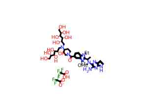 CCn1c(C(C)N(C=O)c2nc3cc[nH]c3nc2N)[n+](CC)c2ccc(C(=O)N3CCC(N(C[C@H](O)[C@@H](O)[C@H](O)[C@H](O)CO)C[C@H](O)[C@@H](O)[C@H](O)[C@H](O)CO)CC3)cc21.O=C(O)C(F)(F)F.O=C([O-])C(F)(F)F